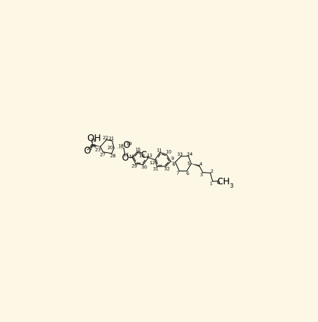 CCCCC[C@H]1CC[C@H](c2ccc(-c3ccc(OC(=O)[C@H]4CC[C@H](C(=O)O)CC4)cc3)cc2)CC1